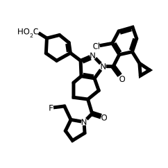 O=C(O)C1CC=C(c2nn(C(=O)c3c(Cl)cccc3C3CC3)c3c2CCC(C(=O)N2CCCC2CF)C3)CC1